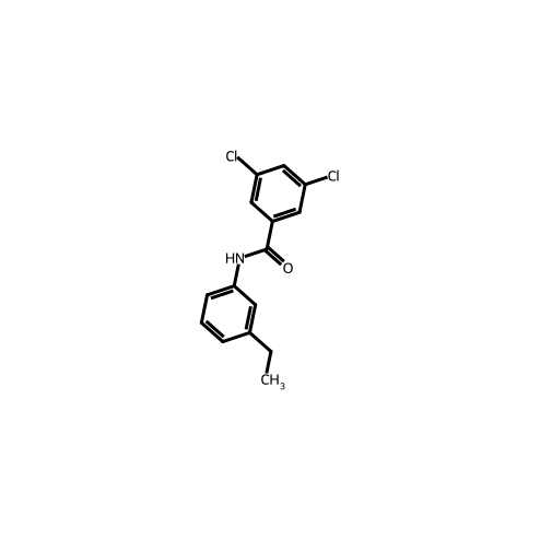 CCc1cccc(NC(=O)c2cc(Cl)cc(Cl)c2)c1